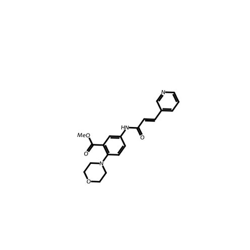 COC(=O)c1cc(NC(=O)/C=C/c2cccnc2)ccc1N1CCOCC1